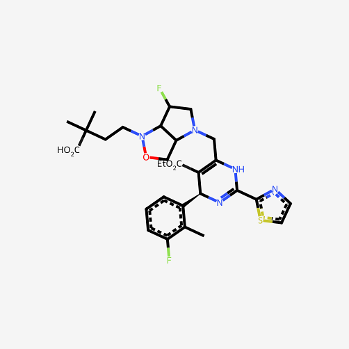 CCOC(=O)C1=C(CN2CC(F)C3C2CON3CCC(C)(C)C(=O)O)NC(c2nccs2)=N[C@H]1c1cccc(F)c1C